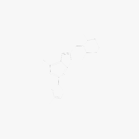 Cc1csc(-c2nc(N)c3cc(CN4C(C)CCCC4C)sc3n2)n1